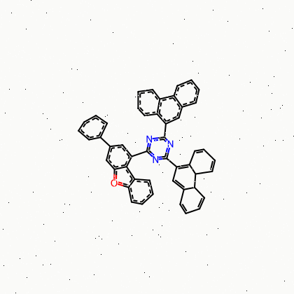 C1=CC2=CC(c3nc(-c4cc5ccccc5c5ccccc45)nc(-c4cc(-c5ccccc5)cc5oc6ccccc6c45)n3)=C3C=CC=CC3C2C=C1